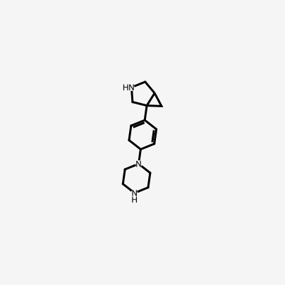 C1=CC(N2CCNCC2)CC=C1C12CNCC1C2